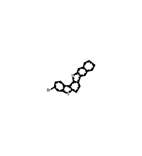 Brc1ccc2c(c1)sc1ccc3c4cc5ccccc5cc4sc3c12